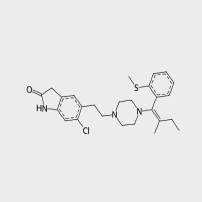 CC/C(C)=C(\c1ccccc1SC)N1CCN(CCc2cc3c(cc2Cl)NC(=O)C3)CC1